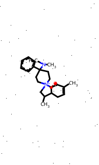 CC1=CCC2C(C)C[N+]3(CCC(c4ccccc4)(N(C)C)CC3)C23CCOC=C13